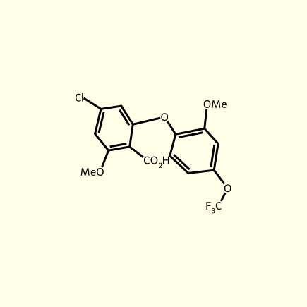 COc1cc(OC(F)(F)F)ccc1Oc1cc(Cl)cc(OC)c1C(=O)O